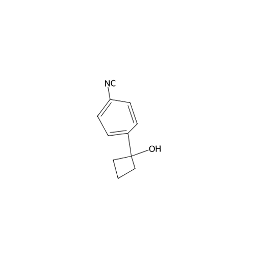 [C-]#[N+]c1ccc(C2(O)CCC2)cc1